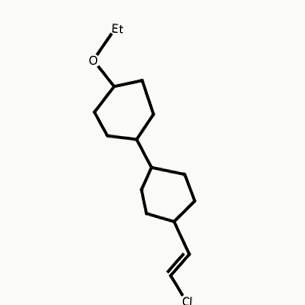 CCOC1CCC(C2CCC(/C=C/Cl)CC2)CC1